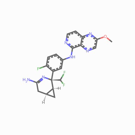 COc1cnc2c(Nc3ccc(F)c([C@@]4(C(F)F)N=C(N)C[C@@H]5C[C@@H]54)c3)nccc2n1